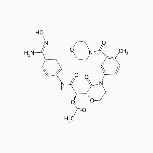 CC(=O)O[C@@H](C(=O)Nc1ccc(/C(N)=N/O)cc1)[C@H]1OCCN(c2ccc(C)c(C(=O)N3CCOCC3)c2)C1=O